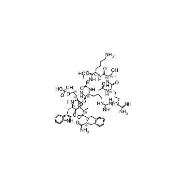 CC(=O)N[C@@H](CCCNC(=N)N)C(=O)N[C@H](C(=O)N[C@@H](CCCCN)C(=O)N[C@@H](CO)C(=O)N[C@@H](CCCNC(=N)N)C(=O)N[C@H](C(=O)N[C@@H](Cc1c[nH]c2ccccc12)C(=O)N[C@@H](C)C(=O)N1Cc2ccccc2C[C@H]1C(N)=O)[C@@H](C)OP(=O)(O)O)[C@@H](C)O